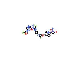 O=C1CCC(c2nn(C3CC3)c3c(C#CCO[C@@H]4CCN(C[C@H]5CC[C@H](n6cc(NC(=O)c7cnn8ccc(N9CCOC(C(F)(F)F)C9)nc78)c(C(F)F)n6)CC5)C[C@@H]4F)cccc23)C(=O)N1